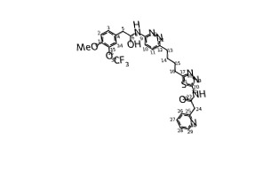 COc1ccc(CC(O)Nc2ccc(CCCCc3nnc(NC(=O)Cc4ccccn4)s3)nn2)cc1OC(F)(F)F